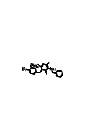 COc1cc(C)c(NCc2ccccc2)c(C)c1Cc1ccc(C(C)C)cc1